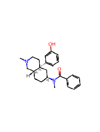 CN1CC[C@@]2(c3cccc(O)c3)C[C@@H](N(C)C(=O)c3ccccc3)CC[C@@H]2C1